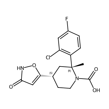 C[C@]1(c2ccc(F)cc2Cl)C[C@@H](c2cc(=O)[nH]o2)CCN1C(=O)O